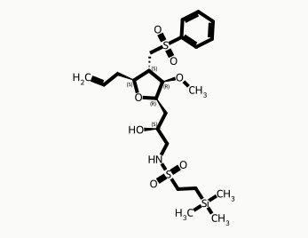 C=CC[C@@H]1O[C@H](C[C@H](O)CNS(=O)(=O)CC[Si](C)(C)C)[C@H](OC)[C@H]1CS(=O)(=O)c1ccccc1